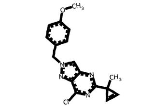 COc1ccc(Cn2cc3nc(C4(C)C=C4)nc(Cl)c3n2)cc1